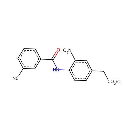 CCOC(=O)Cc1ccc(NC(=O)c2cccc(C#N)c2)c([N+](=O)[O-])c1